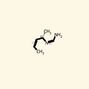 C/C=C\[C@H](C)/N=C\N